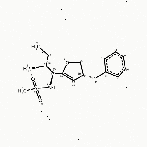 CC[C@H](C)[C@H](NS(C)(=O)=O)C1=N[C@@H](Cc2ccccc2)CO1